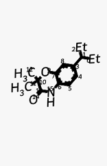 CCC(CC)c1ccc2c(c1)OC(C)(C)C(=O)N2